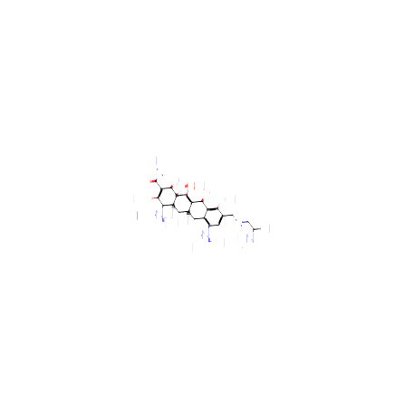 CC(N)CNCc1cc(N(C)C)c2c(c1O)C(=O)C1=C(O)[C@]3(O)C(=O)C(C(N)=O)=C(O)C(N(C)C)[C@@H]3C[C@@H]1C2